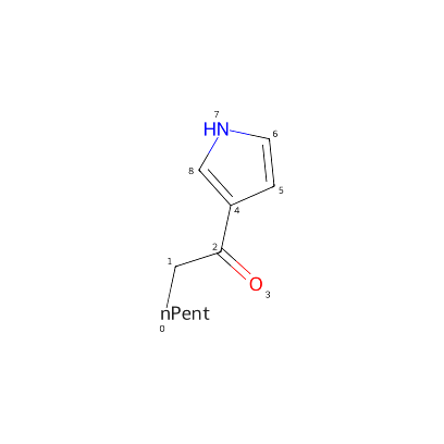 CCCCCCC(=O)c1cc[nH]c1